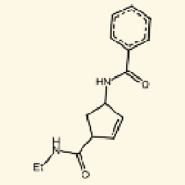 CCNC(=O)C1C=CC(NC(=O)c2ccccc2)C1